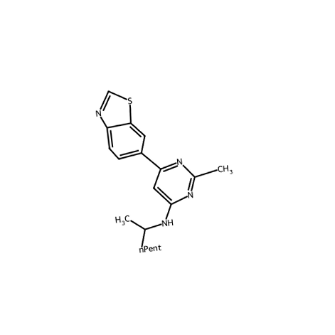 CCCCCC(C)Nc1cc(-c2ccc3ncsc3c2)nc(C)n1